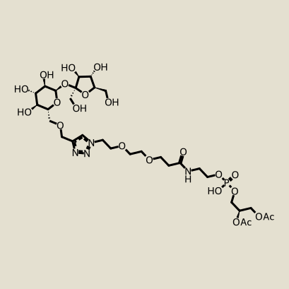 CC(=O)OC[C@H](COP(=O)(O)OCCNC(=O)CCOCCOCCn1cc(COC[C@H]2O[C@H](O[C@]3(CO)O[C@H](CO)[C@@H](O)[C@@H]3O)[C@H](O)[C@@H](O)[C@@H]2O)nn1)OC(C)=O